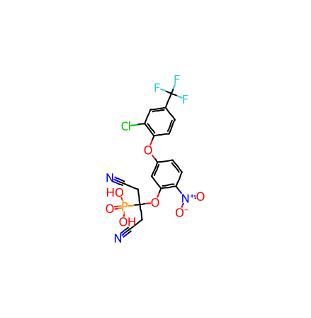 N#CCC(CC#N)(Oc1cc(Oc2ccc(C(F)(F)F)cc2Cl)ccc1[N+](=O)[O-])P(=O)(O)O